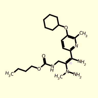 CCCCOC(=O)NC/C(=C(/N)c1ccc(OC2CCCCC2)c(C)n1)N(C)N